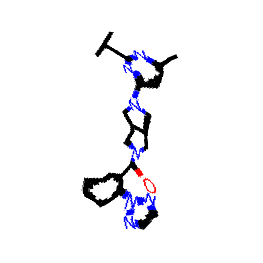 Cc1cc(N2C=C3CN(C(=O)c4ccccc4-n4nccn4)CC3C2)nc(C(C)C)n1